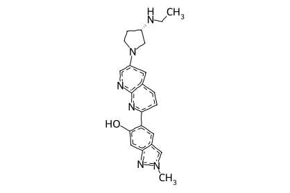 CCN[C@H]1CCN(c2cnc3nc(-c4cc5cn(C)nc5cc4O)ccc3c2)C1